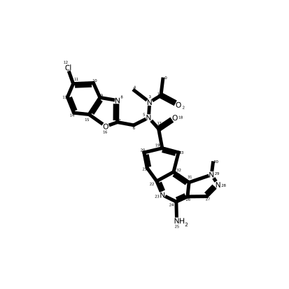 CC(=O)N(C)N(Cc1nc2cc(Cl)ccc2o1)C(=O)c1ccc2nc(N)c3cnn(C)c3c2c1